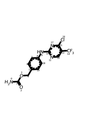 NC(=O)OCc1ccc(Nc2ncc(C(F)(F)F)c(Cl)n2)cc1